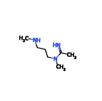 CNCCCN(C)C(C)=N